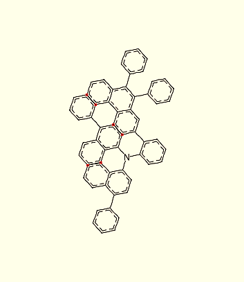 c1ccc(-c2ccc(N(c3ccccc3-c3ccc4c(c3)c(-c3ccccc3)c(-c3ccccc3)c3ccccc34)c3ccc(-c4ccccc4)c4ccccc34)c3ccccc23)cc1